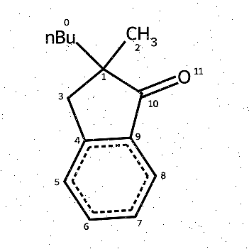 CCCCC1(C)Cc2ccccc2C1=O